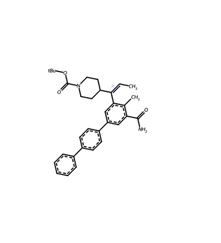 C/C=C(\c1cc(-c2ccc(-c3ccccc3)cc2)cc(C(N)=O)c1C)C1CCN(C(=O)OC(C)(C)C)CC1